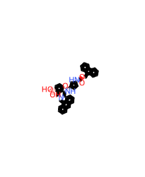 O=C(N[C@@H]1CC[C@H](C(=O)NCCN(Cc2ccccc2B(O)O)Cc2c3ccccc3cc3ccccc23)C1)OCC1c2ccccc2-c2ccccc21